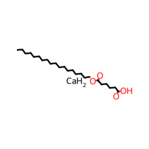 CCCCCCCCCCCCCCCCCCOC(=O)CCCCC(=O)O.[CaH2]